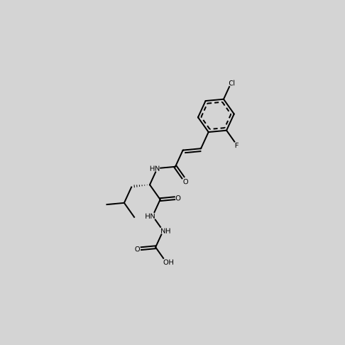 CC(C)C[C@H](NC(=O)/C=C/c1ccc(Cl)cc1F)C(=O)NNC(=O)O